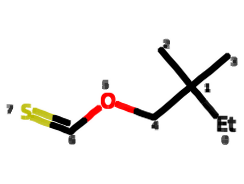 CCC(C)(C)COC=S